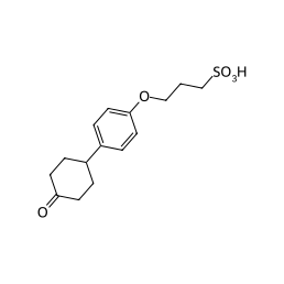 O=C1CCC(c2ccc(OCCCS(=O)(=O)O)cc2)CC1